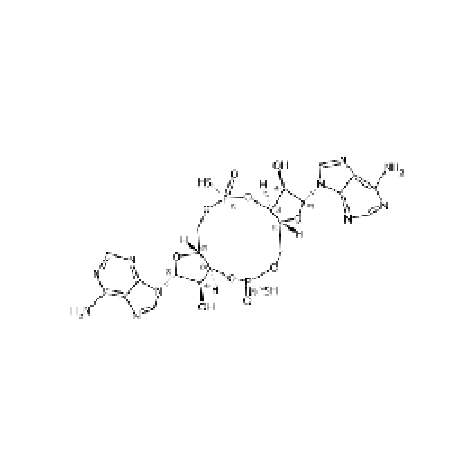 Nc1ncnc2c1ncn2[C@@H]1O[C@@H]2CO[P@](=O)(S)O[C@H]3[C@@H](O)[C@H](n4cnc5c(N)ncnc54)O[C@@H]3CO[P@](=O)(S)O[C@H]2[C@H]1O